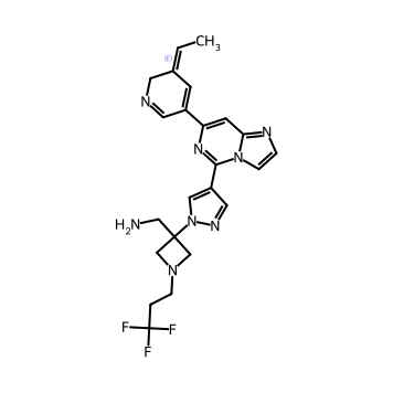 C/C=C1\C=C(c2cc3nccn3c(-c3cnn(C4(CN)CN(CCC(F)(F)F)C4)c3)n2)C=NC1